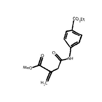 C=C(CC(=O)Nc1ccc(C(=O)OCC)cc1)C(=O)OC